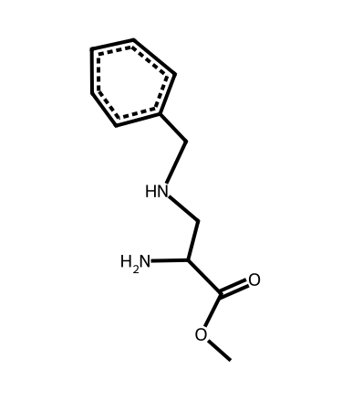 COC(=O)C(N)CNCc1ccccc1